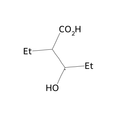 CC[C](O)C(CC)C(=O)O